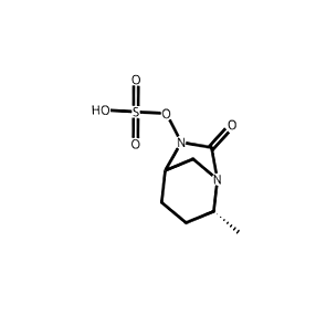 C[C@@H]1CCC2CN1C(=O)N2OS(=O)(=O)O